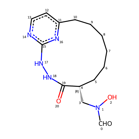 O=CN(O)C[C@H]1CCCCCCc2ccnc(n2)NNC1=O